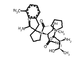 Cc1cccc(CC2(C(N)=O)CCC[N+]2(C(=O)[C@@H]2CCCN2C(=O)[C@@H](N)[C@@H](C)O)[C@H](C(N)=O)[C@@H](C)O)c1